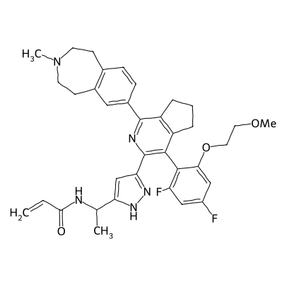 C=CC(=O)NC(C)c1cc(-c2nc(-c3ccc4c(c3)CCN(C)CC4)c3c(c2-c2c(F)cc(F)cc2OCCOC)CCC3)n[nH]1